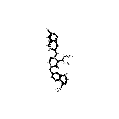 CO[C@H](C)C1C(=O)N(Cc2ccc3c(N)ccnc3c2)CCN1Cc1cc2ccc(Cl)cc2cn1